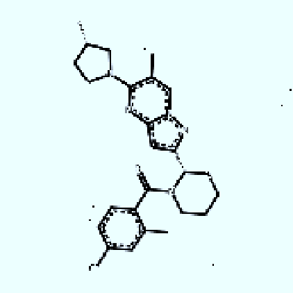 Cc1cc(Cl)ccc1C(=O)N1CCCC[C@H]1c1cc2nc(N3CC[C@H](C)C3)c(C)cn2n1